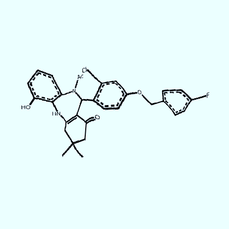 CC(=O)N1c2cccc(O)c2NC2=C(C(=O)CC(C)(C)C2)C1c1ccc(OCc2ccc(F)cc2)cc1Cl